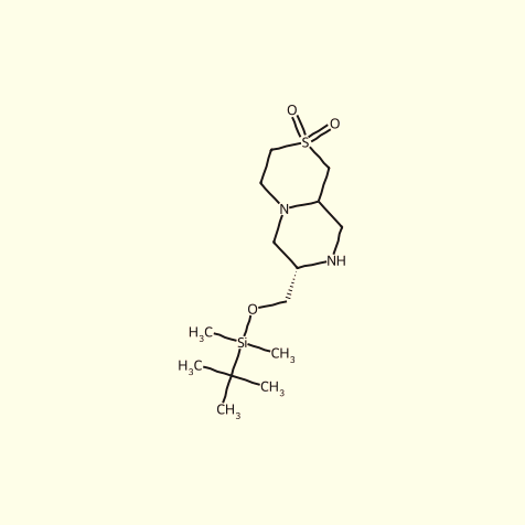 CC(C)(C)[Si](C)(C)OC[C@@H]1CN2CCS(=O)(=O)CC2CN1